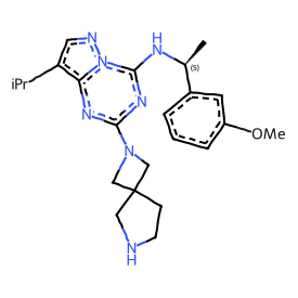 COc1cccc([C@H](C)Nc2nc(N3CC4(CCNC4)C3)nc3c(C(C)C)cnn23)c1